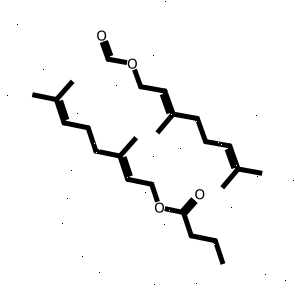 CC(C)=CCC/C(C)=C/COC=O.CCCC(=O)OC/C=C(\C)CCC=C(C)C